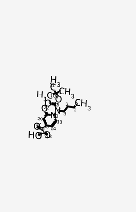 CCCCN(C(=O)OC(C)(C)C)n1ccc(S(=O)(=O)O)cc1=O